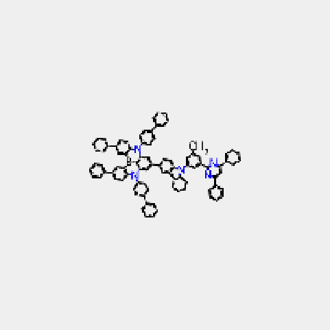 Cc1cc(-c2nc(-c3ccccc3)cc(-c3ccccc3)n2)cc(-n2c3ccccc3c3cc(-c4cc5c6c(c4)N(c4ccc(-c7ccccc7)cc4)c4ccc(-c7ccccc7)cc4B6c4cc(-c6ccccc6)ccc4N5c4ccc(-c5ccccc5)cc4)ccc32)c1